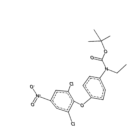 CCN(C(=O)OC(C)(C)C)c1ccc(Oc2c(Cl)cc([N+](=O)[O-])cc2Cl)cc1